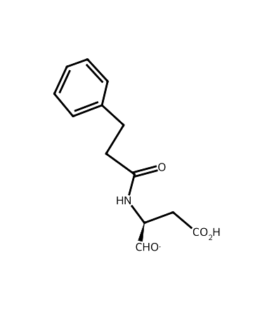 O=[C][C@H](CC(=O)O)NC(=O)CCc1ccccc1